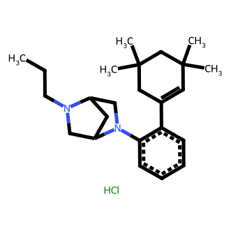 CCCN1CC2CC1CN2c1ccccc1C1=CC(C)(C)CC(C)(C)C1.Cl